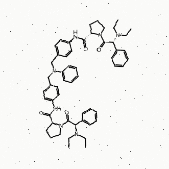 CCN(CC)[C@@H](C(=O)N1CCC[C@H]1C(=O)Nc1ccc(CN(Cc2ccc(NC(=O)[C@@H]3CCCN3C(=O)[C@@H](c3ccccc3)N(CC)CC)cc2)c2ccccc2)cc1)c1ccccc1